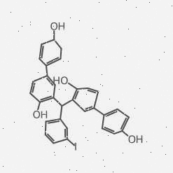 Oc1ccc(-c2ccc(O)c(C(c3cccc(I)c3)c3cc(C4=CCC(O)C=C4)ccc3O)c2)cc1